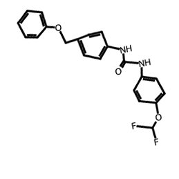 O=C(Nc1ccc(COc2ccccc2)cc1)Nc1ccc(OC(F)F)cc1